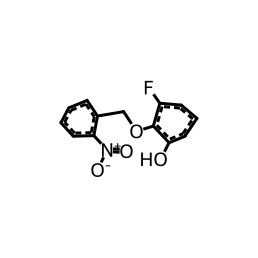 O=[N+]([O-])c1ccccc1COc1c(O)cccc1F